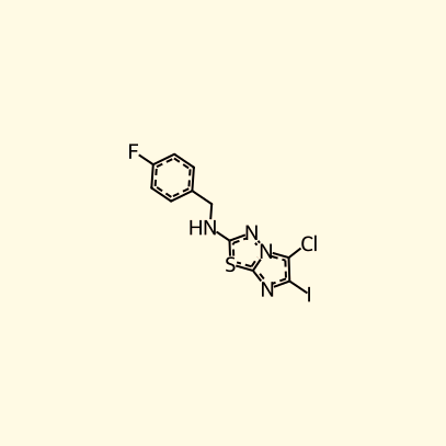 Fc1ccc(CNc2nn3c(Cl)c(I)nc3s2)cc1